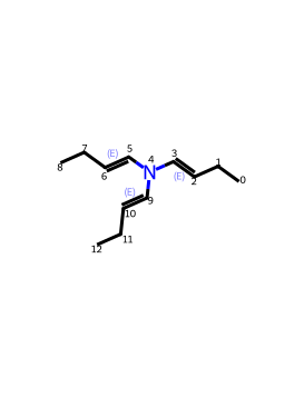 CC/C=C/N(/C=C/CC)/C=C/CC